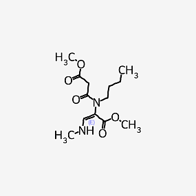 CCCCN(C(=O)CC(=O)OC)/C(=C/NC)C(=O)OC